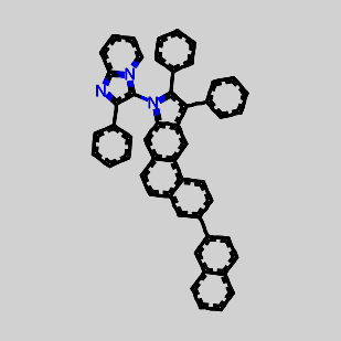 c1ccc(-c2nc3ccccn3c2-n2c(-c3ccccc3)c(-c3ccccc3)c3cc4c(ccc5cc(-c6ccc7ccccc7c6)ccc54)cc32)cc1